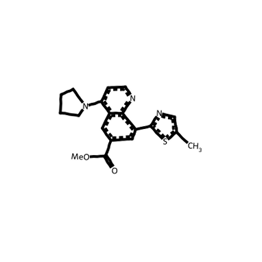 COC(=O)c1cc(-c2ncc(C)s2)c2nccc(N3CCCC3)c2c1